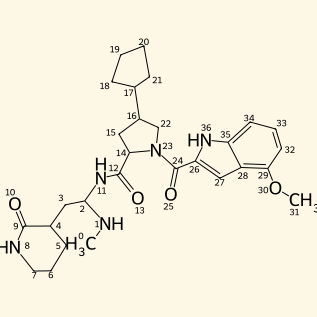 CNC(CC1CCCNC1=O)NC(=O)C1CC(C2CCCC2)CN1C(=O)c1cc2c(OC)cccc2[nH]1